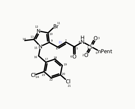 CCCCCS(=O)(=O)NC(=O)/C=C/c1c(Br)nc(C)n1Cc1ccc(Cl)cc1Cl